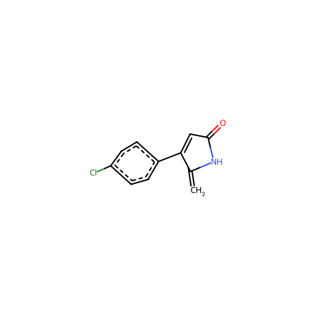 C=C1NC(=O)C=C1c1ccc(Cl)cc1